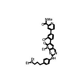 CCN(CC)CCCc1ccc(Nc2ncc3cc(-c4ccc(-c5ccnc(C(=O)NC)c5)cc4Cl)c(=O)n(CC)c3n2)cc1